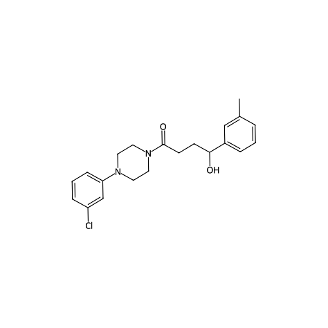 Cc1cccc(C(O)CCC(=O)N2CCN(c3cccc(Cl)c3)CC2)c1